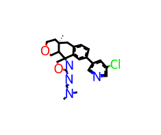 CN(C)C=NC1=NC2(CO1)c1cc(-c3cncc(Cl)c3)ccc1C[C@]1(C)CCOCC21